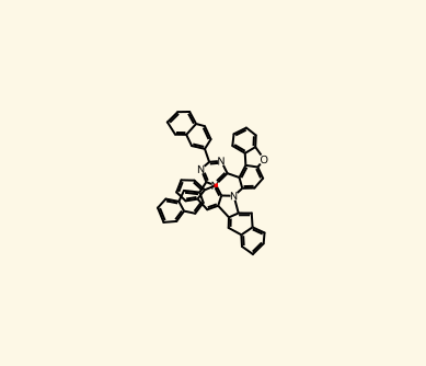 c1ccc2cc(-c3nc(-c4ccc5ccccc5c4)nc(-c4c(-n5c6cc7ccccc7cc6c6cc7ccccc7cc65)ccc5oc6ccccc6c45)n3)ccc2c1